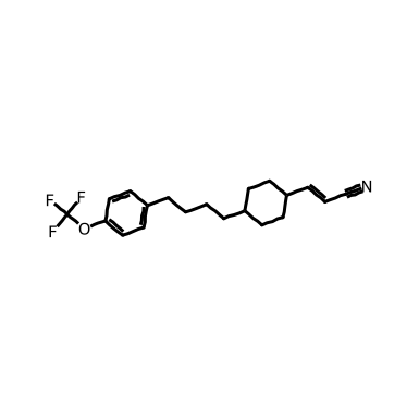 N#CC=CC1CCC(CCCCc2ccc(OC(F)(F)F)cc2)CC1